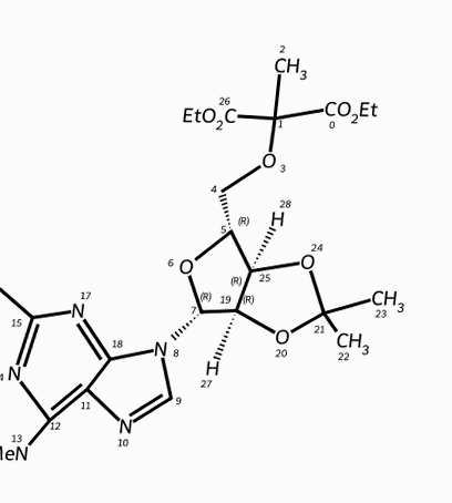 CCOC(=O)C(C)(OC[C@H]1O[C@@H](n2cnc3c(NC)nc(Cl)nc32)[C@@H]2OC(C)(C)O[C@@H]21)C(=O)OCC